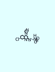 CN(CCNS(C)(=O)=O)c1cc(-n2ccnc2)c2ccc(Cl)cc2n1